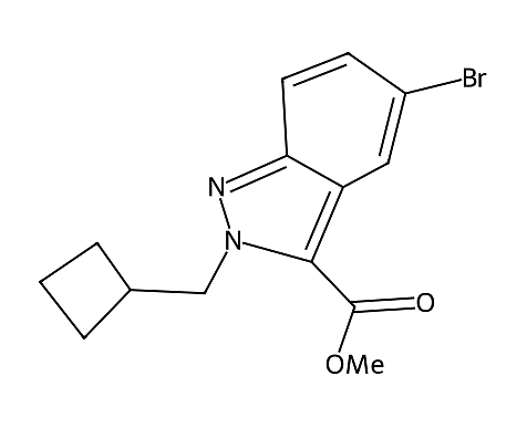 COC(=O)c1c2cc(Br)ccc2nn1CC1CCC1